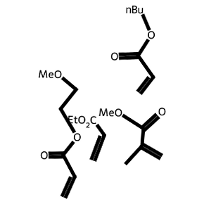 C=C(C)C(=O)OC.C=CC(=O)OCC.C=CC(=O)OCCCC.C=CC(=O)OCCOC